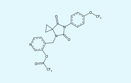 O=C1N(c2ccc(OC(F)(F)F)cc2)C(=O)C2(CC2)N1Cc1ccncc1OC(=O)C(F)(F)F